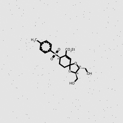 CCOC(=O)C1=CC2(CC[C@H]1S(=O)(=O)c1ccc(C)cc1)O[C@H](CO)[C@@H](CO)O2